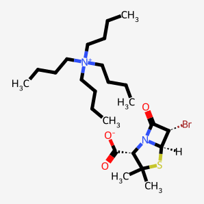 CC1(C)S[C@@H]2[C@@H](Br)C(=O)N2[C@H]1C(=O)[O-].CCCC[N+](CCCC)(CCCC)CCCC